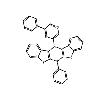 c1ccc(B2c3sc4ccccc4c3N(c3cncc(-c4ccccc4)n3)c3c2sc2ccccc32)cc1